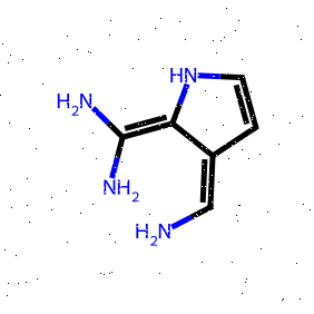 N/C=c1/cc[nH]c1=C(N)N